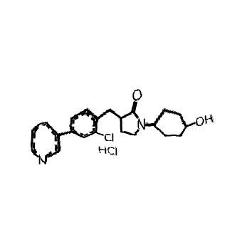 Cl.O=C1C(Cc2ccc(-c3cccnc3)cc2Cl)CCN1C1CCC(O)CC1